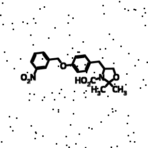 CC1(C)OCC(Cc2ccc(OCc3cccc([N+](=O)[O-])c3)cc2)N1C(=O)O